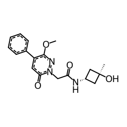 COc1nn(CC(=O)N[C@H]2C[C@](C)(O)C2)c(=O)cc1-c1ccccc1